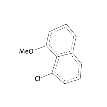 COc1cccc2cccc(Cl)c12